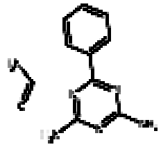 NC=O.Nc1nc(N)nc(-c2ccccc2)n1